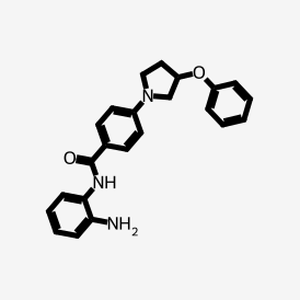 Nc1ccccc1NC(=O)c1ccc(N2CCC(Oc3ccccc3)C2)cc1